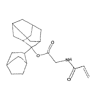 C=CC(=O)NCC(=O)OC1(C2CC3CCC2C3)C2CC3CC(C2)CC1C3